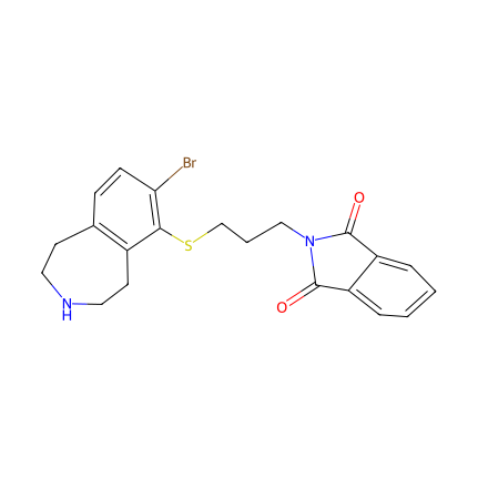 O=C1c2ccccc2C(=O)N1CCCSc1c(Br)ccc2c1CCNCC2